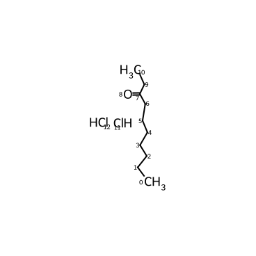 CCCCCCCC(=O)CC.Cl.Cl